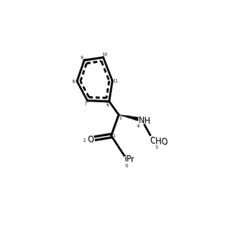 CC(C)C(=O)[C@H](NC=O)c1ccccc1